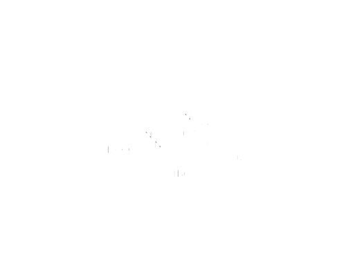 CN(C1CCCc2c1cnn2CC(=O)O)S(=O)(=O)c1cc(C(C)(C)C)cc(C(C)(C)C)c1